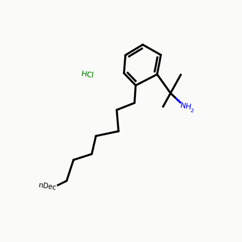 CCCCCCCCCCCCCCCCCc1ccccc1C(C)(C)N.Cl